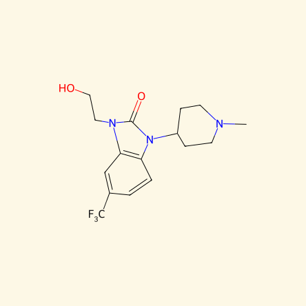 CN1CCC(n2c(=O)n(CCO)c3cc(C(F)(F)F)ccc32)CC1